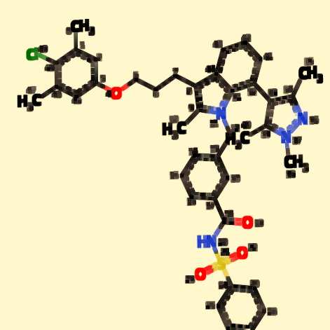 Cc1cc(OCCCc2c(C)n(Cc3cccc(C(=O)NS(=O)(=O)c4ccccc4)c3)c3c(-c4c(C)nn(C)c4C)cccc23)cc(C)c1Cl